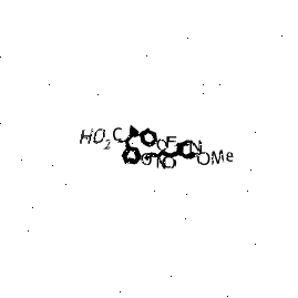 COc1cc(-c2onc(COc3cccc([C@@H](CC(=O)O)C4CC4)c3)c2OC2CCCCC2)c(F)cn1